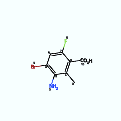 Cc1c(N)c(Br)cc(F)c1C(=O)O